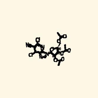 CC(=O)OC[C@H]1O[C@H](n2cnc3c(Cl)c(C#N)c(Cl)nc32)[C@H](OC(C)=O)[C@@H]1OC(C)=O